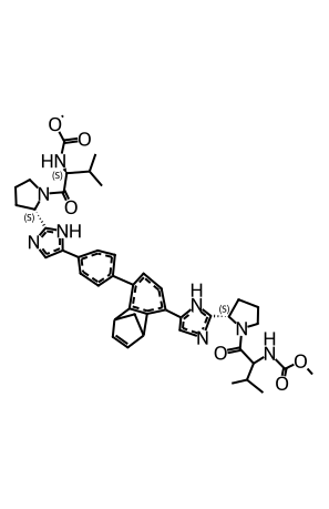 COC(=O)NC(C(=O)N1CCC[C@H]1c1ncc(-c2ccc(-c3ccc(-c4cnc([C@@H]5CCCN5C(=O)[C@@H](NC(=O)OC)C(C)C)[nH]4)cc3)c3c2C2C=CC3C2)[nH]1)C(C)C